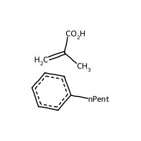 C=C(C)C(=O)O.CCCCCc1ccccc1